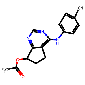 N#Cc1ccc(Nc2ncnc3c2CCC3OC(=O)C(F)(F)F)cc1